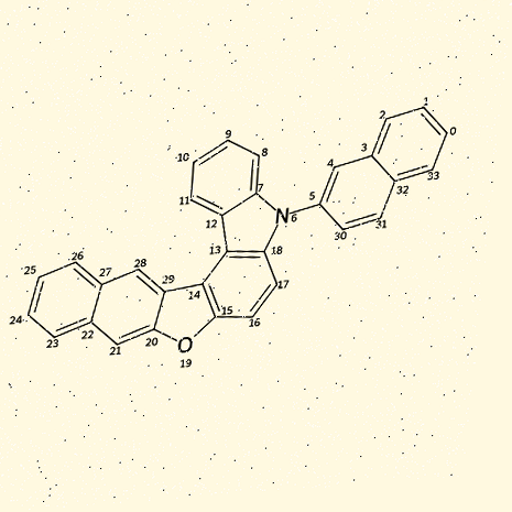 c1ccc2cc(-n3c4ccccc4c4c5c(ccc43)oc3cc4ccccc4cc35)ccc2c1